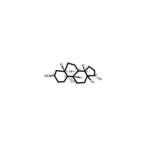 CC(=O)[C@H]1CC[C@H]2[C@@H]3CC[C@H]4C[C@H](O)CC[C@]4(C)[C@H]3CCC12C(C)=O